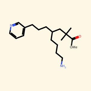 COC(=O)C(C)(C)CC(CCCCN)CCCc1cccnc1